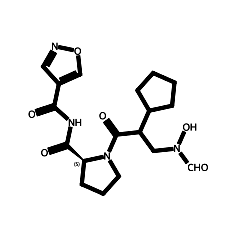 O=CN(O)CC(C(=O)N1CCC[C@H]1C(=O)NC(=O)c1cnoc1)C1CCCC1